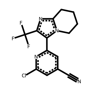 N#Cc1cc(Cl)nc(-c2c(C(F)(F)F)nc3n2CCCC3)c1